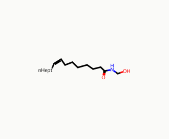 CCCCCCC/C=C\CCCCCCC(=O)NCO